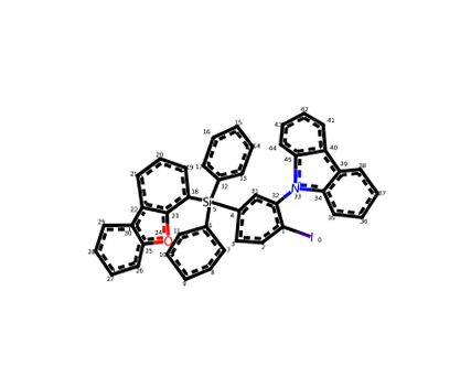 Ic1ccc([Si](c2ccccc2)(c2ccccc2)c2cccc3c2oc2ccccc23)cc1-n1c2ccccc2c2ccccc21